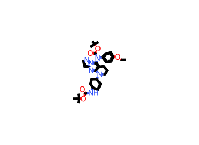 CCOc1ccc(N(C(=O)OC(C)(C)C)c2c3c(nc4ccnn24)N(C2CCC(NC(=O)OC(C)(C)C)CC2)CCC3)cc1